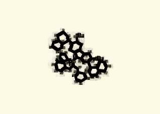 CC(C)(C)c1cc2c(cc1-c1cccc3ccccc13)[CH]([Zr](=[C](Cc1ccccc1)Cc1ccccc1)[CH]1C=CC=C1)c1cc(-c3cccc4ccccc34)c(C(C)(C)C)cc1-2